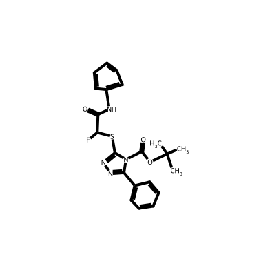 CC(C)(C)OC(=O)n1c(SC(F)C(=O)Nc2ccccc2)nnc1-c1ccccc1